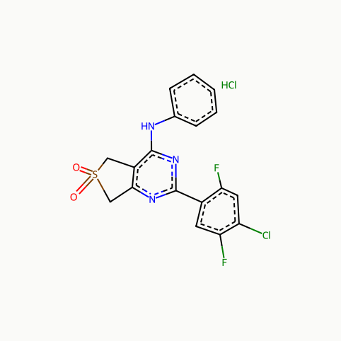 Cl.O=S1(=O)Cc2nc(-c3cc(F)c(Cl)cc3F)nc(Nc3ccccc3)c2C1